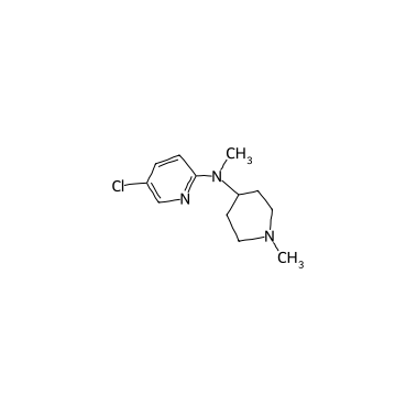 CN1CCC(N(C)c2ccc(Cl)cn2)CC1